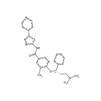 Cc1cc(C(=O)Nc2nnc(-c3ccncc3)s2)cnc1O[C@@H](CCN(C)C)c1ccccc1